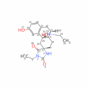 CCN1C(=O)N[C@]2(CC[C@@]3(O)[C@H]4Cc5ccc(O)cc5[C@@]3(CCN4CC)C2)C1=O